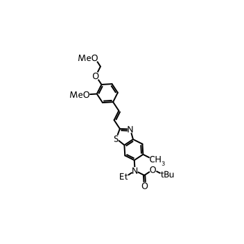 CCN(C(=O)OC(C)(C)C)c1cc2sc(C=Cc3ccc(OCOC)c(OC)c3)nc2cc1C